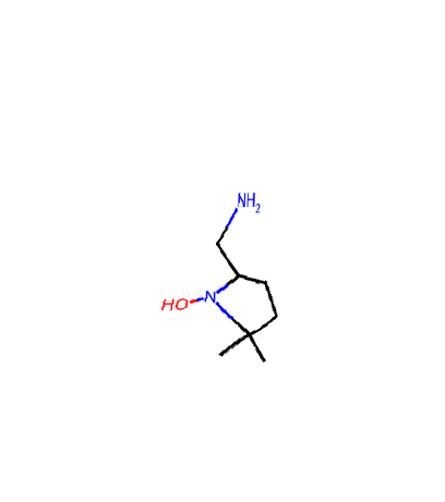 CC1(C)CCC(CN)N1O